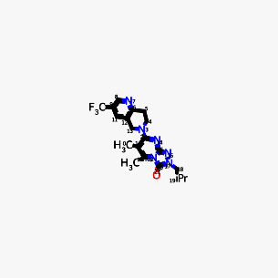 Cc1c(N2CCc3ncc(C(F)(F)F)cc3C2)nc2nn(CC(C)C)c(=O)n2c1C